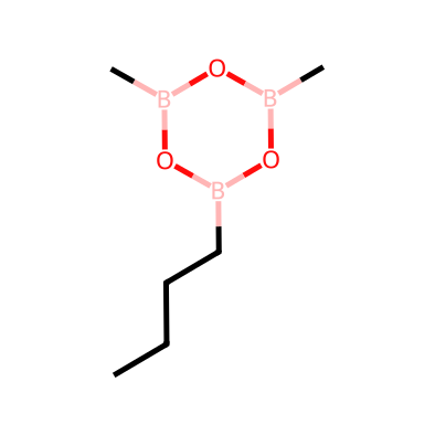 CCCCB1OB(C)OB(C)O1